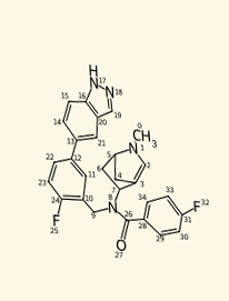 CN1C=C2CC1CC2N(Cc1cc(-c2ccc3[nH]ncc3c2)ccc1F)C(=O)c1ccc(F)cc1